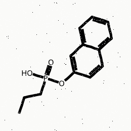 CCCP(=O)(O)Oc1ccc2ccccc2c1